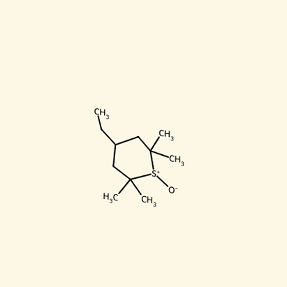 CCC1CC(C)(C)[S+]([O-])C(C)(C)C1